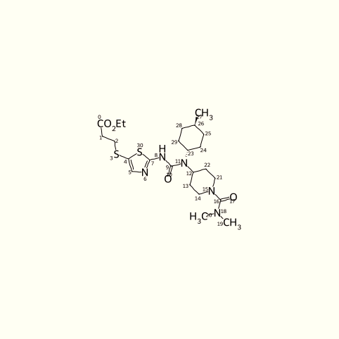 CCOC(=O)CCSc1cnc(NC(=O)N(C2CCN(C(=O)N(C)C)CC2)[C@H]2CC[C@H](C)CC2)s1